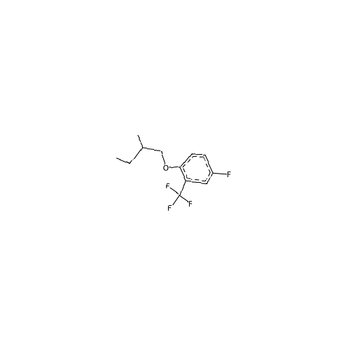 CCC(C)COc1ccc(F)cc1C(F)(F)F